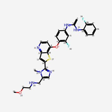 C=C(Nc1ccc(Oc2ccnc3cc(-c4ncc(CNCCOC)n4C)sc23)c(F)c1)Nc1ccccc1F